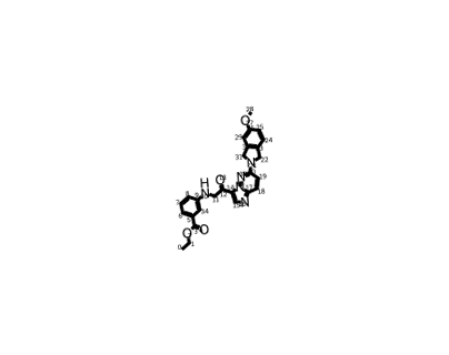 CCOC(=O)c1cccc(NCC(=O)c2cnc3ccc(N4Cc5ccc(OC)cc5C4)nn23)c1